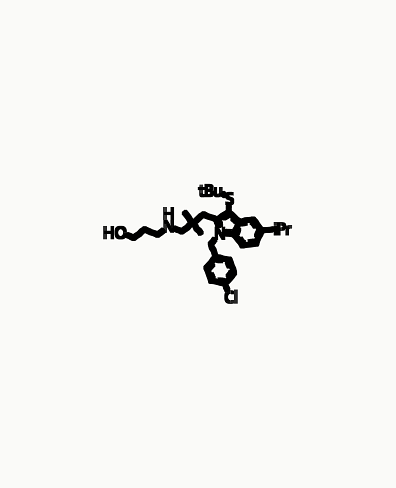 CC(C)c1ccc2c(c1)c(SC(C)(C)C)c(CC(C)(C)CNCCCO)n2Cc1ccc(Cl)cc1